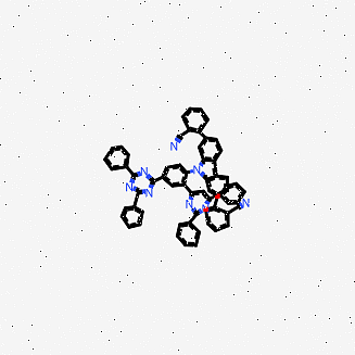 N#Cc1ccccc1-c1ccc2c3ccc(-c4ccccc4C#N)cc3n(-c3ccc(-c4nc(-c5ccccc5)nc(-c5ccccc5)n4)cc3-c3cc(-c4ccccc4)nc(-c4ccccc4)n3)c2c1